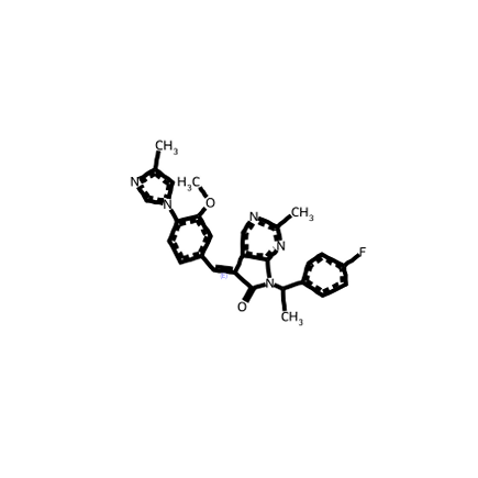 COc1cc(/C=C2/C(=O)N(C(C)c3ccc(F)cc3)c3nc(C)ncc32)ccc1-n1cnc(C)c1